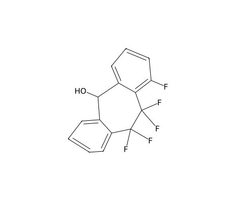 OC1c2ccccc2C(F)(F)C(F)(F)c2c(F)cccc21